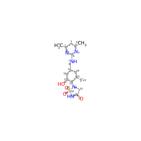 Cc1cc(C)nc(NCc2cc(O)c(N3CC(=O)NS3(=O)=O)c(F)c2)n1